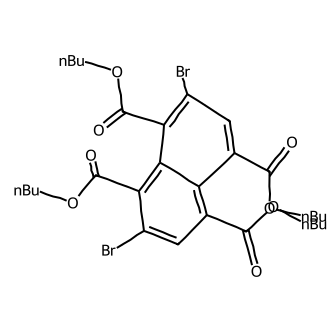 CCCCOC(=O)c1cc(Br)c(C(=O)OCCCC)c2c(C(=O)OCCCC)c(Br)cc(C(=O)OCCCC)c12